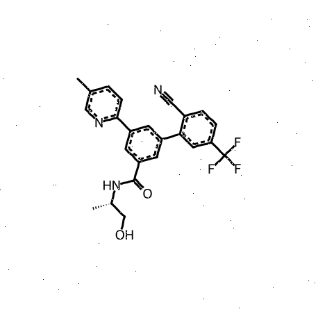 Cc1ccc(-c2cc(C(=O)N[C@@H](C)CO)cc(-c3cc(C(F)(F)F)ccc3C#N)c2)nc1